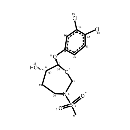 CS(=O)(=O)N1CC[C@H](Oc2ccc(Cl)c(Cl)c2)[C@@H](O)CC1